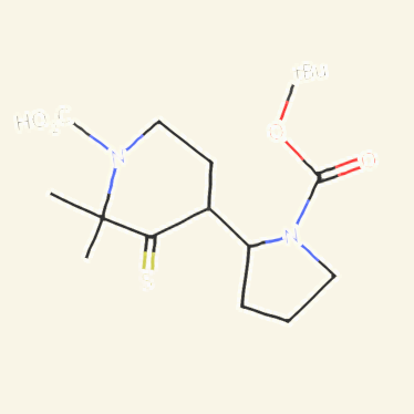 CC(C)(C)OC(=O)N1CCCC1C1CCN(C(=O)O)C(C)(C)C1=S